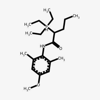 CCCC(C(=O)Nc1c(C)cc(OC)cc1C)[PH](CC)(CC)CC